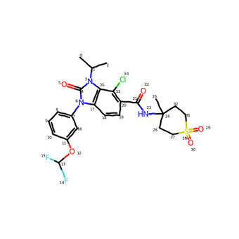 CC(C)n1c(=O)n(-c2cccc(OC(F)F)c2)c2ccc(C(=O)NC3(C)CCS(=O)(=O)CC3)c(Cl)c21